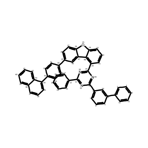 c1ccc(-c2cccc(-c3nc(-c4ccccc4)nc(-c4cccc5oc6ccc(-c7ccc(-c8cccc9ccccc89)cc7)cc6c45)n3)c2)cc1